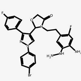 NNc1cc(CCN2C(=O)COC2c2cn(-c3ccc(Br)cc3)nc2-c2ccc(F)cc2)c(F)cc1N